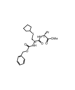 COC(=O)[C@@H](NC(=O)[C@H](CSC1CCCC1)NC(=O)OCc1ccccc1)C(C)C